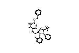 CC(NC(=O)OCc1ccccc1)C(=O)N[C@@H](Cc1ccccc1)C(=O)N[C@H](C(=O)C1(C)CO1)c1ccccc1